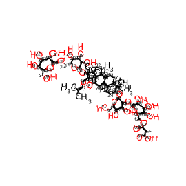 CC(C)=CCC[C@](C)(O[C@@H]1O[C@H](CO[C@@H]2O[C@H](CO)[C@@H](O)[C@H](O)[C@H]2O)[C@@H](O)[C@H](O)[C@H]1O)[C@H]1CC[C@]2(C)[C@@H]1[C@H](O)C[C@@H]1[C@@]3(C)CC[C@H](O[C@@H]4O[C@H](CO)[C@@H](O)[C@H](O)[C@H]4O[C@H]4O[C@H](COC(=O)CC(=O)O)[C@@H](O)[C@H](O)[C@H]4O)C(C)(C)[C@@H]3CC[C@]12C